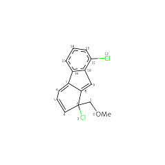 COCC1(Cl)C=CC=C2C1=Cc1c(Cl)cccc12